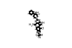 [2H]C([2H])([2H])n1cc2c(Cl)c(-c3c[nH]c4nc(N5CCC(N)(c6ccccc6)CC5)nc(C(N)=O)c34)ccc2n1